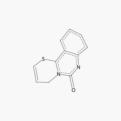 O=c1nc2ccccc2c2n1CC=CS2